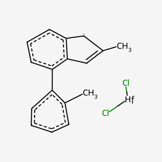 CC1=Cc2c(cccc2-c2ccccc2C)[CH]1.[Cl][Hf][Cl]